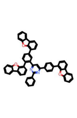 c1ccc(-c2nc(-c3ccc(-c4cccc5c4oc4ccccc45)cc3)cc(-c3cc(-c4cccc5c4oc4ccccc45)ccc3-c3cccc4c3oc3ccccc34)n2)cc1